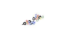 Cc1ccc(S(=O)(=O)n2ccc3c2ncc2nnc([C@@H]4CC[C@H](NS(=O)(=O)c5cc(Cl)sc5Cl)C4)n23)cc1